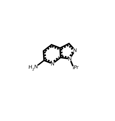 CC(C)n1ncc2ccc(N)nc21